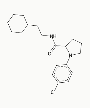 O=C(NCCC1CCCCC1)[C@@H]1CCCN1c1ccc(Cl)cc1